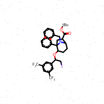 CC(C)(C)OC(=O)C1CC2(c3ccccc3)C(OC(CI)c3cc(C(F)(F)F)cc(C(F)(F)F)c3)CCC1N2Cc1ccccc1